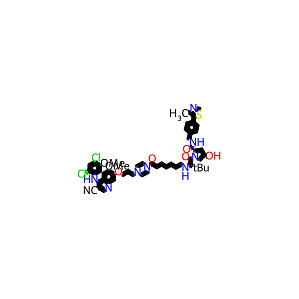 COc1cc(Nc2c(C#N)cnc3cc(OCCCN4CCN(C(=O)CCCCCCNC(C(=O)N5C[C@H](O)C[C@H]5C(=O)NCc5ccc(-c6scnc6C)cc5)C(C)(C)C)CC4)c(OC)cc23)c(Cl)cc1Cl